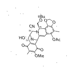 CCCCOC[C@H]1c2c(c(OC(C)=O)c(C)c3c2OCO3)C=C2C3C4=C(C(=O)C(C)=C(OC)C4=O)[C@H](O)C([C@H](C#N)N21)N3C